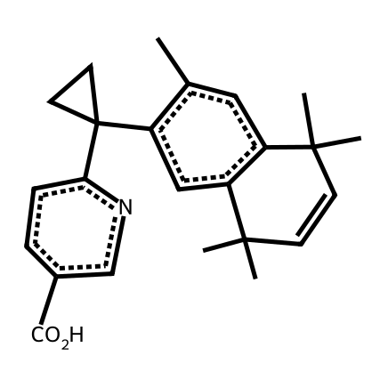 Cc1cc2c(cc1C1(c3ccc(C(=O)O)cn3)CC1)C(C)(C)C=CC2(C)C